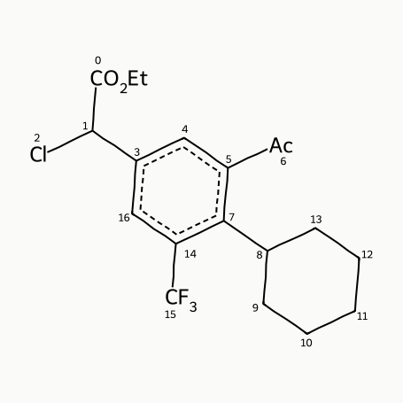 CCOC(=O)C(Cl)c1cc(C(C)=O)c(C2CCCCC2)c(C(F)(F)F)c1